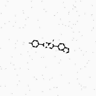 Cn1c(-c2ccc3cc[nH]c3c2)cn2nc(-c3ccc(F)cc3)nc12